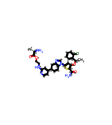 CC(C)[C@H](N)C(=O)OCCNc1cc(C2C=Cc3c(ncn3-c3cc(O[C@H](C)c4ccccc4Cl)c(C(N)=O)s3)C2)ccn1